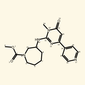 COC(=O)N1CCCCC(Nc2nc(-c3ccncc3)cc(=O)n2C)C1